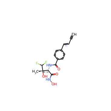 C#C/C=C/c1ccc(C(=O)N[C@H](C(=O)NO)[C@](C)(O)C(F)F)cc1